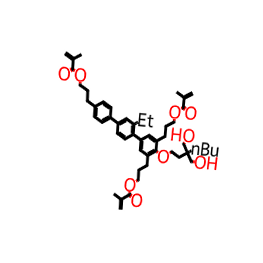 C=C(C)C(=O)OCCCc1ccc(-c2ccc(-c3cc(CCCOC(=O)C(=C)C)c(OCCC(CO)(CO)CCCC)c(CCCOC(=O)C(=C)C)c3)c(CC)c2)cc1